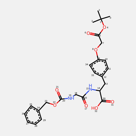 CC(C)(C)OC(=O)COc1ccc(CC(NC(=O)CNC(=O)OCc2ccccc2)C(=O)O)cc1